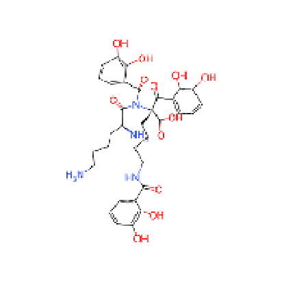 NCCCC[C@H](N)C(=O)N(C(=O)c1cccc(O)c1O)[C@@](CCCCNC(=O)c1cccc(O)c1O)(C(=O)O)C(=O)c1cccc(O)c1O